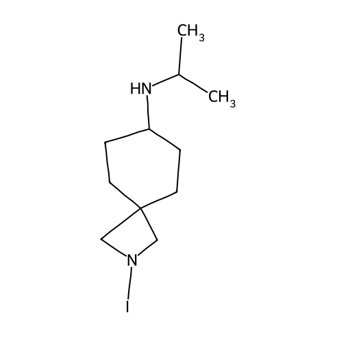 CC(C)NC1CCC2(CC1)CN(I)C2